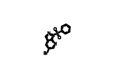 O=S(=O)(c1ccccc1)n1ncc2cc(Br)cnc21